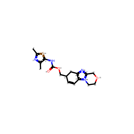 Cc1nc(C)c(NC(=O)OCC2C=Cc3c(nc4n3CCOC4)C2)s1